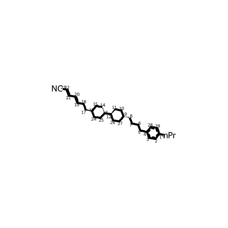 CCCc1ccc(CCCC[C@H]2CC[C@H]([C@H]3CC[C@H](CCC=CC=CC#N)CC3)CC2)cc1